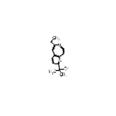 CCC1=Cc2ccc(C(C)(C)C)nc2C=C=N1